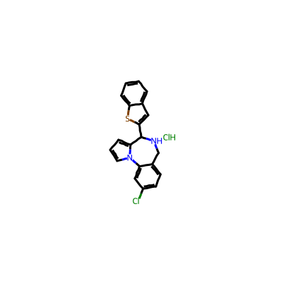 Cl.Clc1ccc2c(c1)-n1cccc1C(c1cc3ccccc3s1)NC2